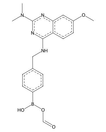 COc1ccc2c(NCc3ccc(B(O)OC=O)cc3)nc(N(C)C)nc2c1